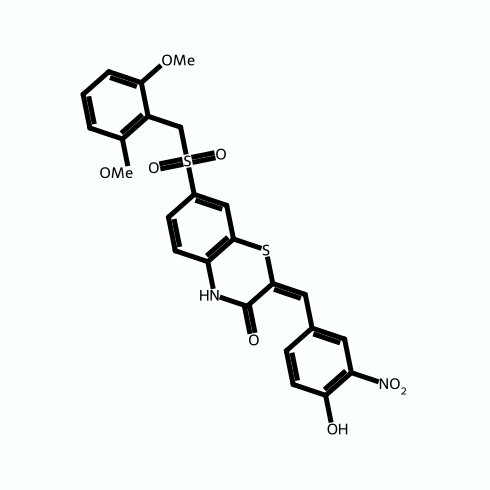 COc1cccc(OC)c1CS(=O)(=O)c1ccc2c(c1)SC(=Cc1ccc(O)c([N+](=O)[O-])c1)C(=O)N2